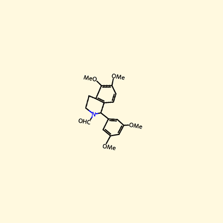 COc1cc(OC)cc(C2c3ccc(OC)c(OC)c3CCN2C=O)c1